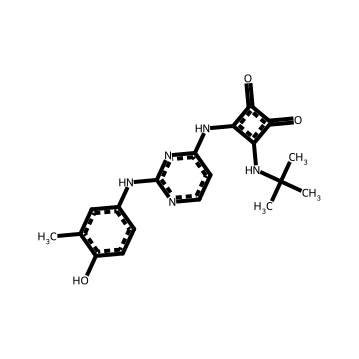 Cc1cc(Nc2nccc(Nc3c(NC(C)(C)C)c(=O)c3=O)n2)ccc1O